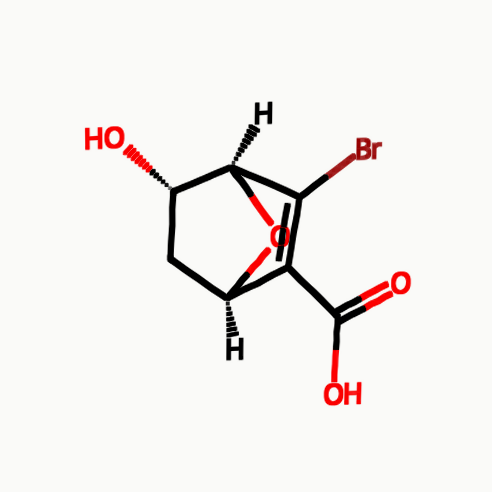 O=C(O)C1=C(Br)[C@H]2O[C@@H]1C[C@@H]2O